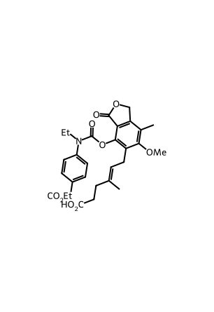 CCOC(=O)c1ccc(N(CC)C(=O)Oc2c(C/C=C(\C)CCC(=O)O)c(OC)c(C)c3c2C(=O)OC3)cc1